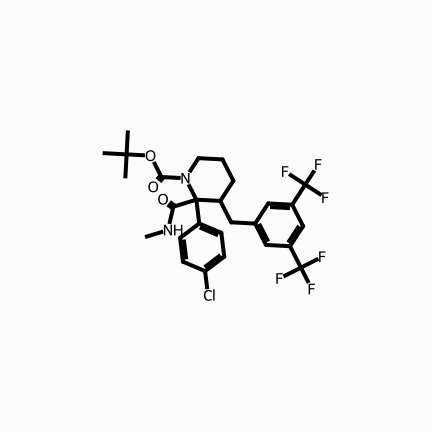 CNC(=O)C1(c2ccc(Cl)cc2)C(Cc2cc(C(F)(F)F)cc(C(F)(F)F)c2)CCCN1C(=O)OC(C)(C)C